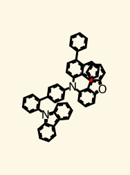 c1ccc(-c2ccc(N(c3ccc(-c4ccccc4-n4c5ccccc5c5ccccc54)cc3)c3cccc4oc5ccccc5c34)c3ccccc23)cc1